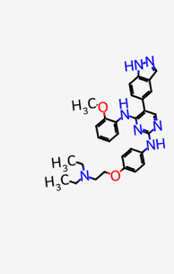 CCN(CC)CCOc1ccc(Nc2ncc(-c3ccc4[nH]ncc4c3)c(Nc3ccccc3OC)n2)cc1